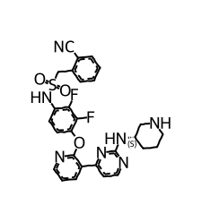 N#Cc1ccccc1CS(=O)(=O)Nc1ccc(Oc2ncccc2-c2ccnc(N[C@H]3CCCNC3)n2)c(F)c1F